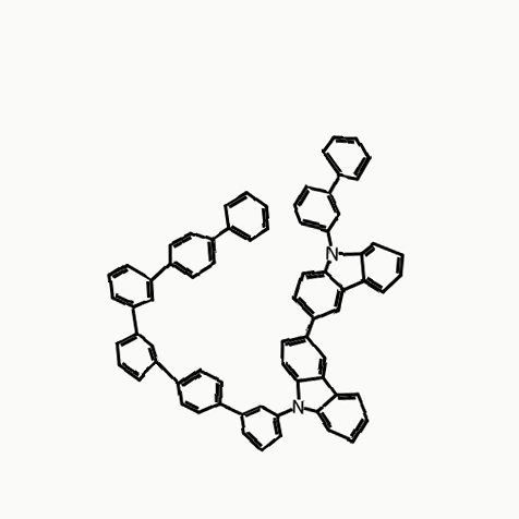 c1ccc(-c2ccc(-c3cccc(-c4cccc(-c5ccc(-c6cccc(-n7c8ccccc8c8cc(-c9ccc%10c(c9)c9ccccc9n%10-c9cccc(-c%10ccccc%10)c9)ccc87)c6)cc5)c4)c3)cc2)cc1